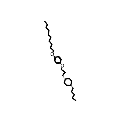 CCCCCCCCCCOc1ccc(OCCC[C@H]2CC[C@H](CCCCC)CC2)cc1